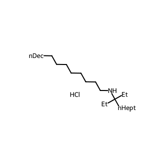 CCCCCCCCCCCCCCCCCCNC(CC)(CC)CCCCCCC.Cl